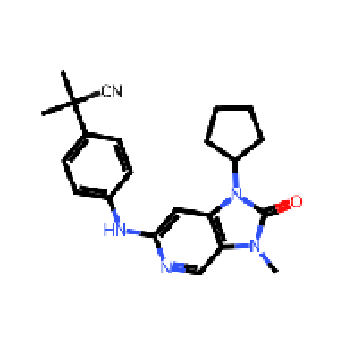 Cn1c(=O)n(C2CCCC2)c2cc(Nc3ccc(C(C)(C)C#N)cc3)ncc21